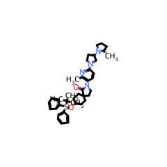 Cc1nc(N2CC[C@@H](N3CCC[C@@H]3C)C2)ccc1N1CCC2(CCC(O[Si](c3ccccc3)(c3ccccc3)C(C)(C)C)CC2)C1=O